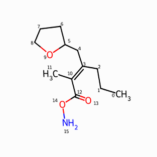 CCCC(CC1CCCO1)=C(C)C(=O)ON